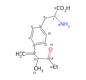 C=C(c1ccc(CC(N)C(=O)O)cc1)C(C)C(=O)CC